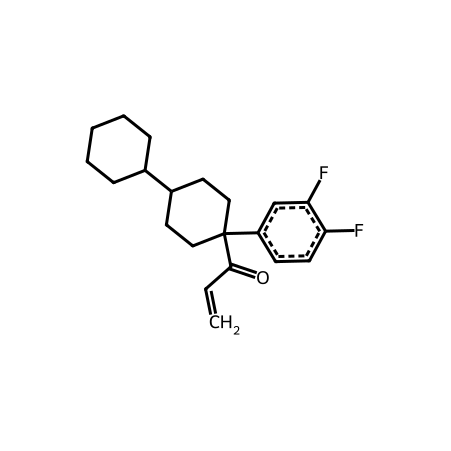 C=CC(=O)C1(c2ccc(F)c(F)c2)CCC(C2CCCCC2)CC1